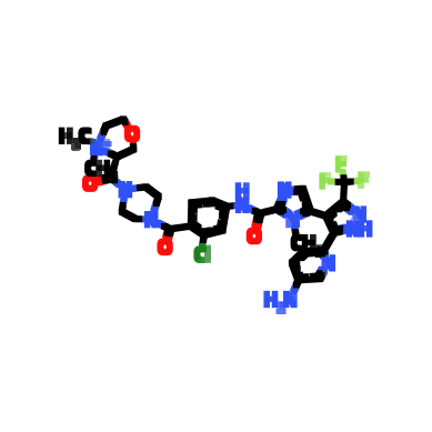 Cn1c(-c2c(C(F)(F)F)n[nH]c2-c2ccc(N)cn2)cnc1C(=O)Nc1ccc(C(=O)N2CCN(C(=O)[C@@H]3COCC[N+]3(C)C)CC2)c(Cl)c1